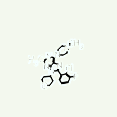 Cc1nc(N2CCN(C)CC2)c2nc(-c3cccc(F)c3Cl)n(C3CCOCC3)c2n1